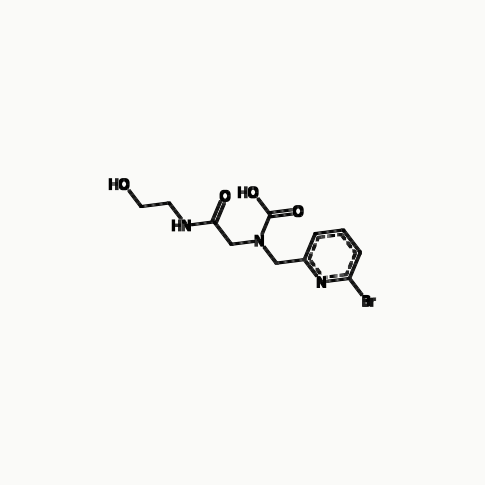 O=C(CN(Cc1cccc(Br)n1)C(=O)O)NCCO